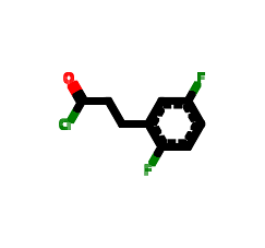 O=C(Cl)CCc1cc(F)ccc1F